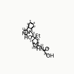 CCC1(C(O)CC2c3ccccc3-c3cncn32)CC2CCC(CNC(=O)CO)C(C2)C1